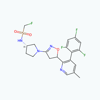 Cc1cnc(C2CC(N3CC[C@H](NS(=O)(=O)CF)C3)=NO2)c(-c2c(F)cc(F)cc2F)c1